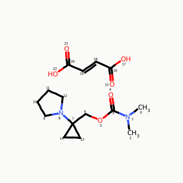 CN(C)C(=O)OCC1(N2CCCC2)CC1.O=C(O)C=CC(=O)O